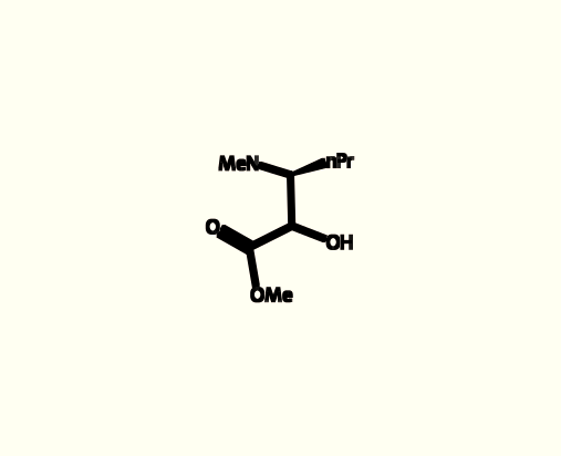 CCC[C@H](NC)C(O)C(=O)OC